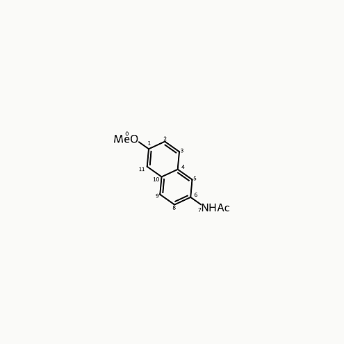 COc1ccc2cc(NC(C)=O)ccc2c1